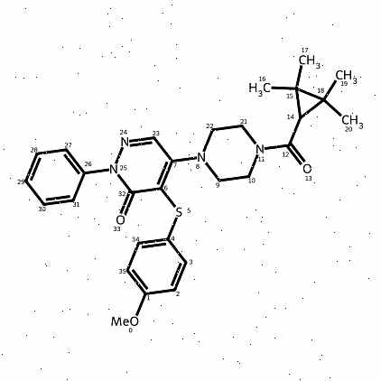 COc1ccc(Sc2c(N3CCN(C(=O)C4C(C)(C)C4(C)C)CC3)cnn(-c3ccccc3)c2=O)cc1